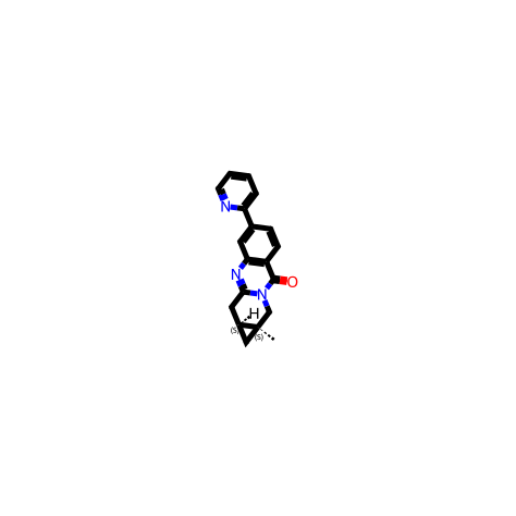 C[C@]12C[C@H]1Cc1nc3cc(-c4ccccn4)ccc3c(=O)n1C2